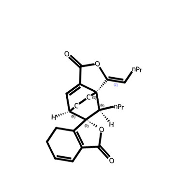 CCC/C=C1\OC(=O)C2=C[C@H]3CC[C@]21[C@@H](CCC)[C@]31OC(=O)C2=C1CCC=C2